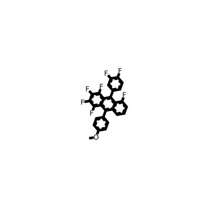 COc1ccc(-c2c3cccc(F)c3c(-c3ccc(F)c(F)c3)c3c(F)c(F)c(F)c(F)c23)cc1